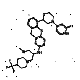 COCC(CN1CCC(C(F)(F)F)CC1)Nc1ccc2c(c1)Sc1cccc(C3CN(c4cc[nH]c(=O)c4)CCO3)c1S2